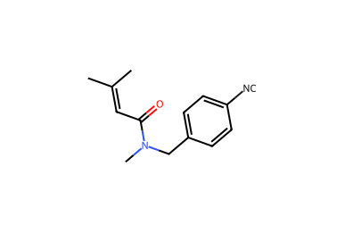 [C-]#[N+]c1ccc(CN(C)C(=O)C=C(C)C)cc1